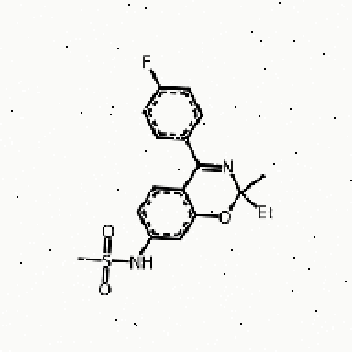 CCC1(C)N=C(c2ccc(F)cc2)c2ccc(NS(C)(=O)=O)cc2O1